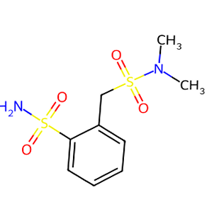 CN(C)S(=O)(=O)Cc1ccccc1S(N)(=O)=O